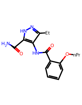 CCCOc1ccccc1C(=O)Nc1c(CC)n[nH]c1C(N)=O